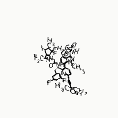 C[C@@H]1[C@H](I)c2c(C(F)(F)F)nn(CC(=O)N[C@@H](Cc3cc(F)cc(F)c3)c3nc(C#CC(C)(C)O)ccc3-c3ccc(Cl)c4c(NS(C)(=O)=O)nn(C)c34)c2C1(F)F